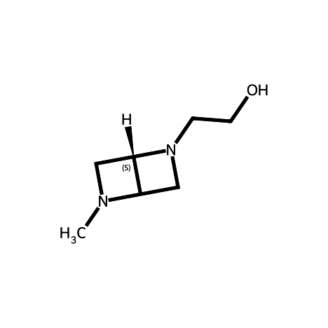 CN1C[C@H]2C1CN2CCO